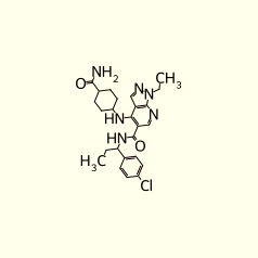 CCC(NC(=O)c1cnc2c(cnn2CC)c1NC1CCC(C(N)=O)CC1)c1ccc(Cl)cc1